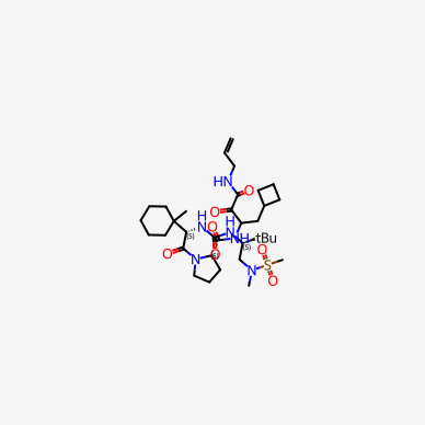 C=CCNC(=O)C(=O)C(CC1CCC1)NC(=O)[C@@H]1CCCN1C(=O)[C@@H](NC(=O)N[C@H](CN(C)S(C)(=O)=O)C(C)(C)C)C1(C)CCCCC1